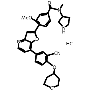 COc1cc(C(=O)N(C)C2CCNC2)ccc1-c1cc2nccc(-c3ccc(OC4CCOCC4)c(C#N)c3)c2o1.Cl